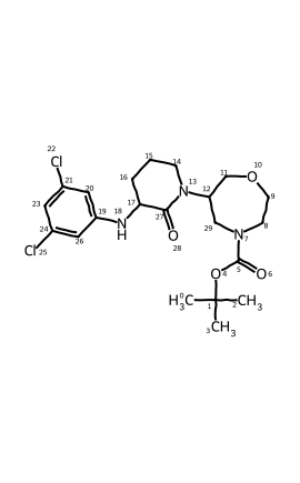 CC(C)(C)OC(=O)N1CCOCC(N2CCCC(Nc3cc(Cl)cc(Cl)c3)C2=O)C1